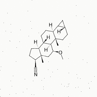 CO[C@H]1C[C@]2(C)[C@@H](C#N)CC[C@H]2[C@@H]2CC[C@H]3C4C[C@@H]4CC[C@]3(C)[C@H]21